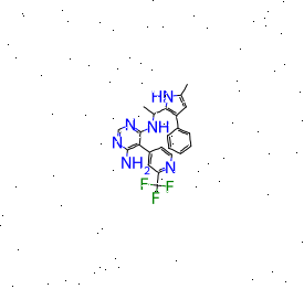 Cc1cc(-c2ccccc2)c(C(C)Nc2ncnc(N)c2-c2ccnc(C(F)(F)F)c2)[nH]1